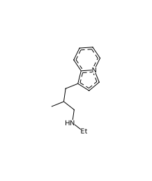 CCNCC(C)Cc1ccn2ccccc12